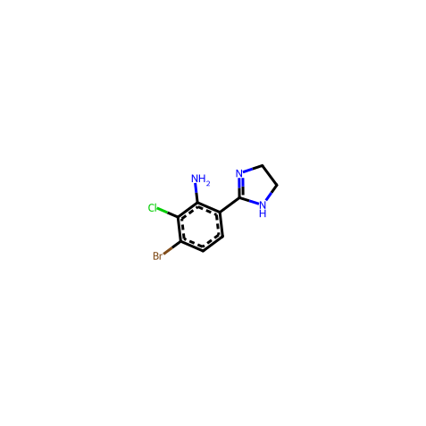 Nc1c(C2=NCCN2)ccc(Br)c1Cl